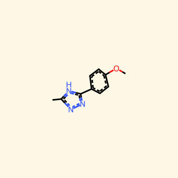 COc1ccc(-c2nnc(C)[nH]2)cc1